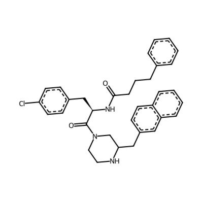 O=C(CCCc1ccccc1)N[C@H](Cc1ccc(Cl)cc1)C(=O)N1CCNC(Cc2ccc3ccccc3c2)C1